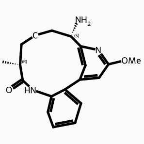 COc1cc2cc(n1)[C@@H](N)CCC[C@@H](C)C(=O)Nc1ccccc1-2